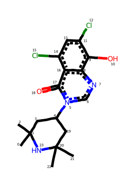 CC1(C)CC(n2cnc3c(O)c(Cl)cc(Cl)c3c2=O)CC(C)(C)N1